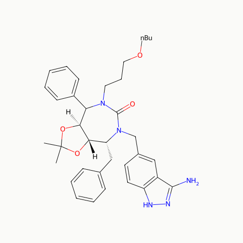 CCCCOCCCN1C(=O)N(Cc2ccc3[nH]nc(N)c3c2)[C@H](Cc2ccccc2)[C@@H]2OC(C)(C)O[C@H]2C1c1ccccc1